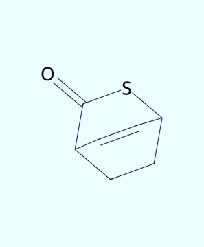 O=C1SC2C=CC1CC2